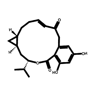 CC(C)[C@@H]1C[C@H]2C[C@@H]2CC/C=C/C(=O)Cc2cc(O)cc(O)c2C(=O)O1